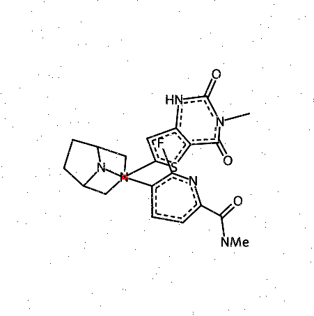 CNC(=O)c1ccc(N2CC3CCC(C2)N3Cc2cc3[nH]c(=O)n(C)c(=O)c3s2)c(F)n1